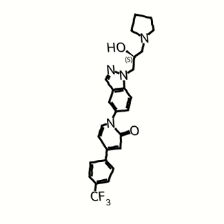 O=c1cc(-c2ccc(C(F)(F)F)cc2)ccn1-c1ccc2c(cnn2C[C@@H](O)CN2CCCC2)c1